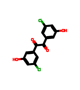 O=C(C(=O)c1cc(O)cc(Cl)c1)c1cc(O)cc(Cl)c1